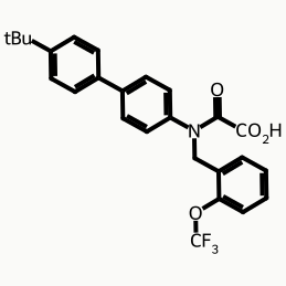 CC(C)(C)c1ccc(-c2ccc(N(Cc3ccccc3OC(F)(F)F)C(=O)C(=O)O)cc2)cc1